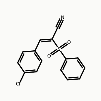 N#CC(=Cc1ccc(Cl)cc1)S(=O)(=O)c1ccccc1